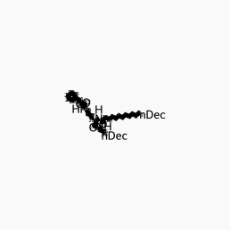 CCCCCCCCCCCCCCCCCCCCCC(=O)N[C@@H](CCCCNC(=O)OCc1ccccc1)C(=O)NCCCCCCCCCCCC